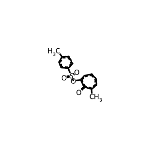 Cc1ccc(S(=O)(=O)Oc2ccccc(C)c2=O)cc1